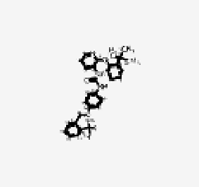 CC(C)(C)c1ccccc1Oc1ncccc1NC(=O)Nc1ccc(OCc2ccccc2C(F)(F)F)cc1